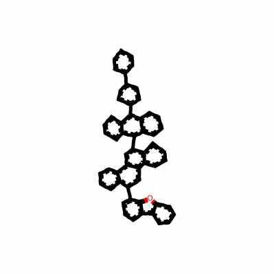 c1ccc(-c2ccc(-c3c4ccccc4c(-c4cc5c6ccccc6c(-c6cccc7c6oc6ccccc67)cc5c5ccccc45)c4ccccc34)cc2)cc1